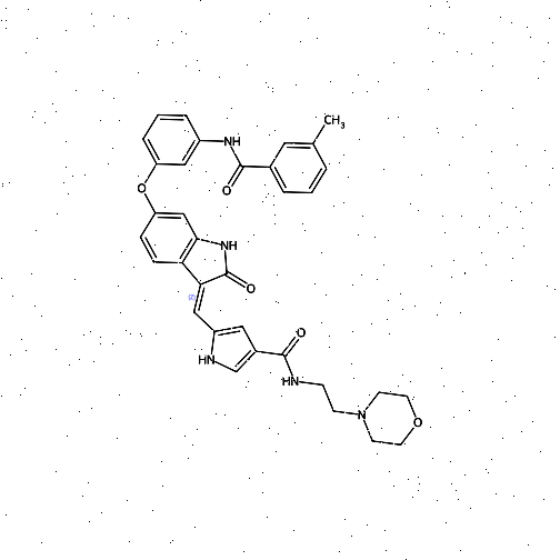 Cc1cccc(C(=O)Nc2cccc(Oc3ccc4c(c3)NC(=O)/C4=C\c3cc(C(=O)NCCN4CCOCC4)c[nH]3)c2)c1